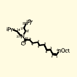 CCCCCCCC/C=C\CCCCCCCC(=O)N(CCC(C)C)CCC(C)C